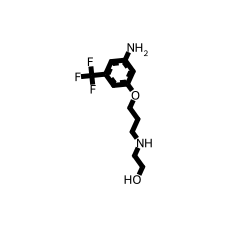 Nc1cc(OCCCNCCO)cc(C(F)(F)F)c1